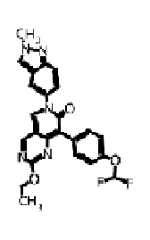 CCOc1ncc2cn(-c3ccc4nn(C)cc4c3)c(=O)c(-c3ccc(OC(F)F)cc3)c2n1